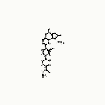 CC1CN(C(C)Cc2ccc(-n3ccc(N4CCN(C(=O)CN)CC4)nc3=O)cc2)C[C@H]1CN